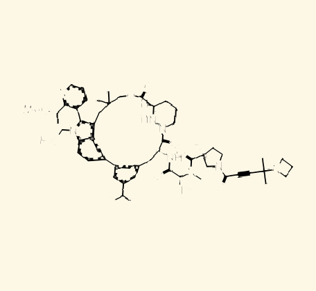 CO[C@@H](C)c1ncccc1-c1c2c3cc(ccc3n1CC(F)(F)F)-c1cc(cc(C(F)F)c1)C[C@H](NC(=O)[C@H](C(C)C)N(C)C(=O)[C@@]1(F)CCN(C(=O)C#CC(C)(C)N3CCC3)C1)C(=O)N1CCC[C@H](N1)C(=O)OCC(C)(C)C2